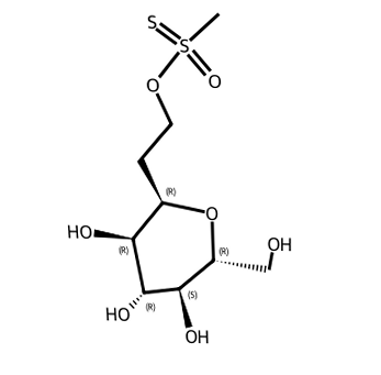 CS(=O)(=S)OCC[C@H]1O[C@H](CO)[C@@H](O)[C@H](O)[C@H]1O